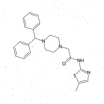 Cc1cnc(NC(=O)CN2CCN(C(c3ccccc3)c3ccccc3)CC2)s1